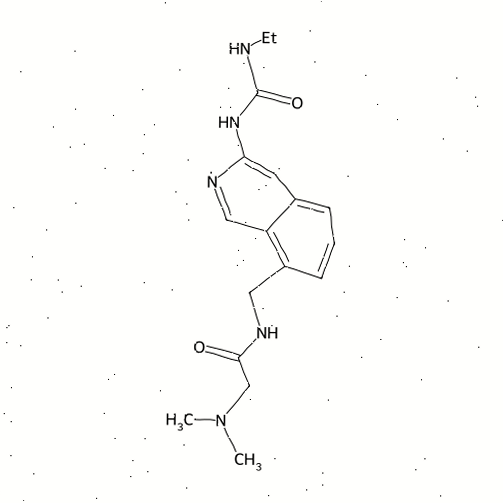 CCNC(=O)Nc1cc2cccc(CNC(=O)CN(C)C)c2cn1